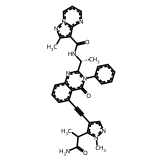 Cc1nn2cccnc2c1C(=O)N[C@H](C)c1nc2cccc(C#Cc3cnn(C)c3C(C)C(N)=O)c2c(=O)n1-c1ccccc1